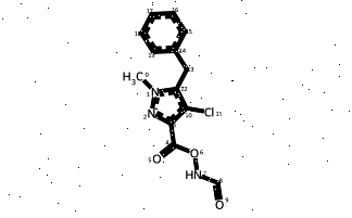 Cn1nc(C(=O)ONC=O)c(Cl)c1Cc1ccccc1